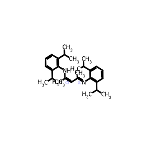 C/C(=C/C(C)=N/c1c(C(C)C)cccc1C(C)C)Nc1c(C(C)C)cccc1C(C)C